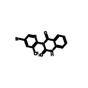 O=c1[nH]c2ccccc2c(=O)n1-c1ncc(Br)cc1C(F)(F)F